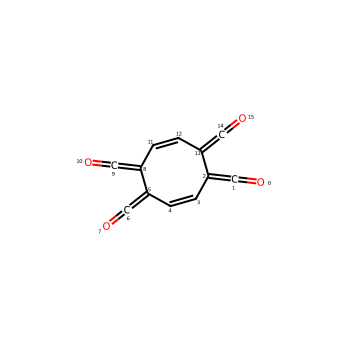 O=C=C1C=CC(=C=O)C(=C=O)C=CC1=C=O